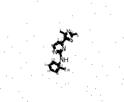 Cc1nc(C)c(-c2ccnc(Nc3ccccc3I)n2)s1